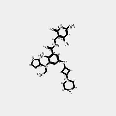 CCN(c1cc(OC2CC(N3CCOCC3)C2)cc(C(=O)NCc2c(C)cc(C)[nH]c2=O)c1C)C1CCOC1